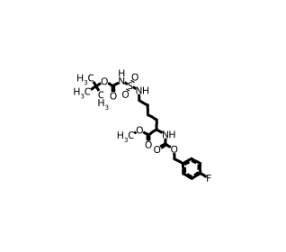 COC(=O)C(CCCCNS(=O)(=O)NC(=O)OC(C)(C)C)NC(=O)OCc1ccc(F)cc1